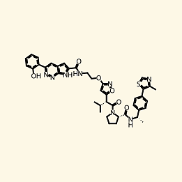 Cc1ncsc1-c1ccc([C@H](C)NC(=O)[C@@H]2CCCN2C(=O)[C@@H](c2cc(OCCNC(=O)c3cc4cc(-c5ccccc5O)nnc4[nH]3)no2)C(C)C)cc1